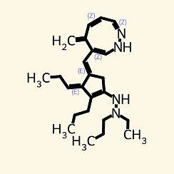 C=C1/C=C\C=N/N/C=C1/C=C1\CC(NN(CC)CCC)=C(CCC)\C1=C\CC